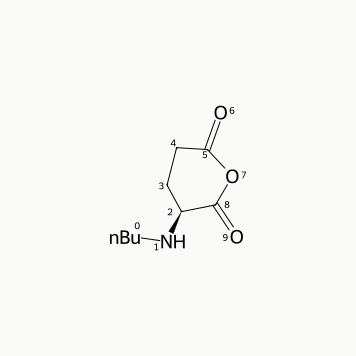 CCCCN[C@H]1CCC(=O)OC1=O